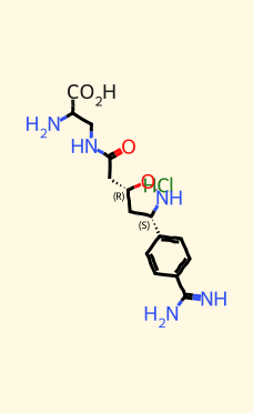 Cl.N=C(N)c1ccc([C@@H]2C[C@H](CC(=O)NCC(N)C(=O)O)ON2)cc1